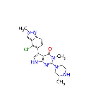 C[C@@H]1CN(c2nc3[nH]cc(-c4ccc5nn(C)cc5c4Cl)c3c(=O)n2C)CCN1